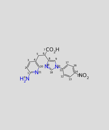 Nc1ccc(CC(C(=O)O)c2cn(-c3ccc([N+](=O)[O-])cc3)cn2)cn1